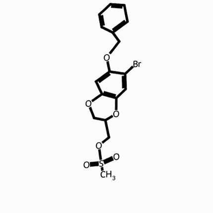 CS(=O)(=O)OCC1COc2cc(OCc3ccccc3)c(Br)cc2O1